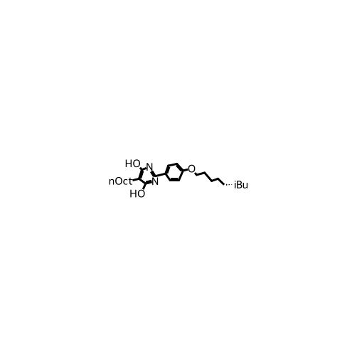 CCCCCCCCc1c(O)nc(-c2ccc(OCCCCC[C@@H](C)CC)cc2)nc1O